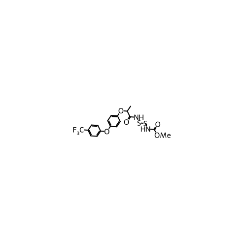 COC(=O)NSSNC(=O)C(C)Oc1ccc(Oc2ccc(C(F)(F)F)cc2)cc1